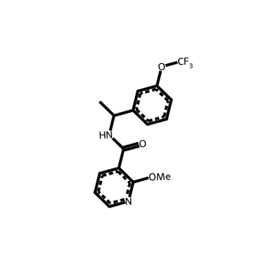 COc1ncccc1C(=O)NC(C)c1cccc(OC(F)(F)F)c1